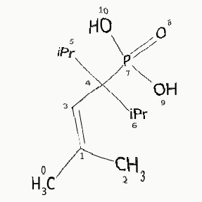 CC(C)=CC(C(C)C)(C(C)C)P(=O)(O)O